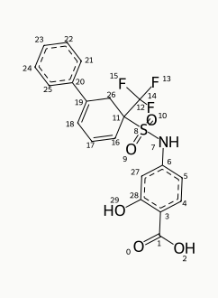 O=C(O)c1ccc(NS(=O)(=O)C2(C(F)(F)F)C=CC=C(c3ccccc3)C2)cc1O